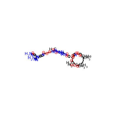 CO[C@H]1CC2CCCC(O2)C(=O)C(=O)N2CCCC[C@H]2C(=O)O[C@H](CC[C@H]2CC[C@H](OC(=O)NCc3cnc(N4CCN(C(=O)CN(C)CC(=O)NCCOCCOCCC(=O)N5CCc6cc(Cn7nc(-c8ccc9oc(N)nc9c8)c8c(N)ncnc87)ccc6C5)CC4)nc3)CC2)CC(=O)[C@H](C)/C=C(\C)[C@@H](O)CC(=O)[C@H](C)C[C@H](C)/C=C/C=C/C=C/1C